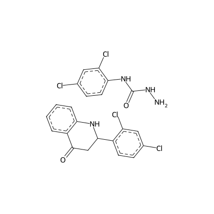 NNC(=O)Nc1ccc(Cl)cc1Cl.O=C1CC(c2ccc(Cl)cc2Cl)Nc2ccccc21